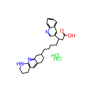 Cl.Cl.O=C(O)CC(CCCCC1CCc2cc3c(nc2C1)NCCC3)c1cnc2ccccc2c1